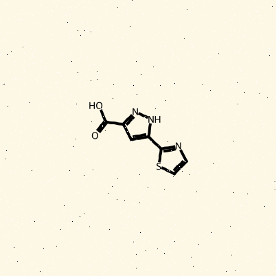 O=C(O)c1cc(-c2nccs2)[nH]n1